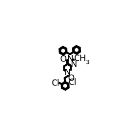 Cc1nc2c(c(=O)n1C(c1ccccc1)c1ccccc1)CCN(C(=O)Cc1c(Cl)cccc1Cl)C2